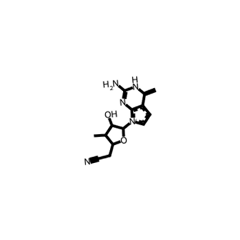 C=C1NC(N)=Nc2c1ccn2C1OC(CC#N)C(C)C1O